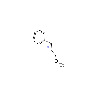 [CH2]COC/C=C/c1ccccc1